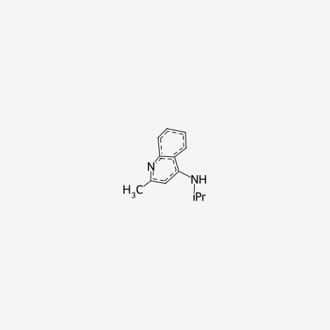 Cc1cc(NC(C)C)c2ccccc2n1